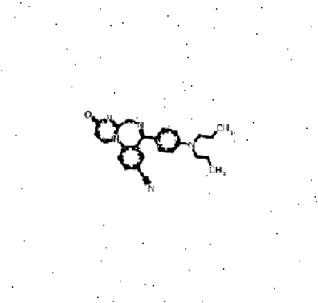 CCCN(CCC)c1ccc(C2=NCc3nc(=O)ccn3-c3ccc(C#N)cc32)cc1